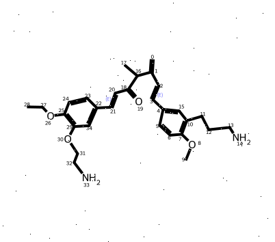 C=C(/C=C/c1ccc(OC)c(CCCN)c1)C(C)C(=O)/C=C/c1ccc(OCC)c(OCCN)c1